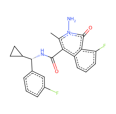 Cc1c(C(=O)N[C@H](c2cccc(F)c2)C2CC2)c2cccc(F)c2c(=O)n1N